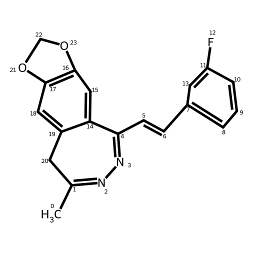 CC1=NN=C(C=Cc2cccc(F)c2)c2cc3c(cc2C1)OCO3